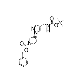 CC(C)(C)OC(=O)NCc1cnn([C@@H]2CCN(C(=O)OCc3ccccc3)C2)c1